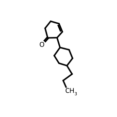 CCCC1CCC(C2C=CCCC2=O)CC1